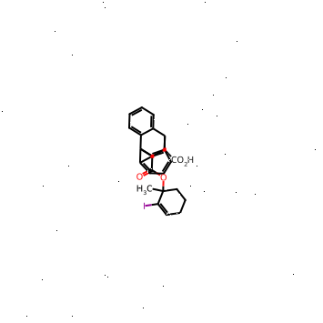 CC1(OC(=O)C2C(C(=O)O)C3c4ccccc4C24c2cccc3c24)CCCC=C1I